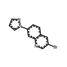 Brc1cnc2cc(-n3cccn3)ccc2c1